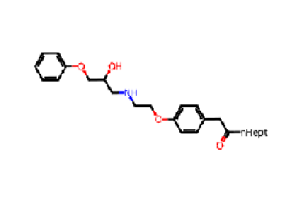 CCCCCCCC(=O)Cc1ccc(OCCNCC(O)COc2ccccc2)cc1